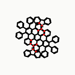 c1ccc(-c2c(-c3ccccc3)c(-c3ccccc3)c(-c3c4ccc(-n5c6ccccc6c6ccccc65)cc4c(-c4c(-c5ccccc5)c(-c5ccccc5)c(-c5ccccc5)c(-c5ccccc5)c4-c4ccccc4)c4ccc(-n5c6ccccc6c6ccccc65)cc34)c(-c3ccccc3)c2-c2ccccc2)cc1